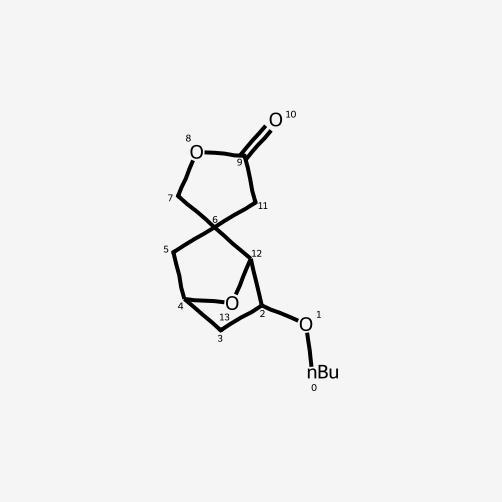 CCCCOC1CC2CC3(COC(=O)C3)C1O2